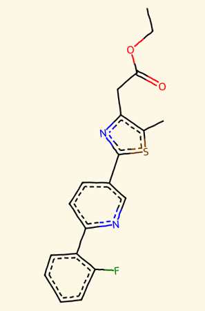 CCOC(=O)Cc1nc(-c2ccc(-c3ccccc3F)nc2)sc1C